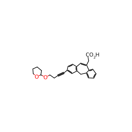 O=C(O)CC1=Cc2ccc(C#CCCOC3CCCCO3)cc2Cc2ccccc21